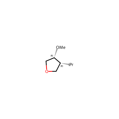 CO[C@H]1COC[C@H]1C(C)C